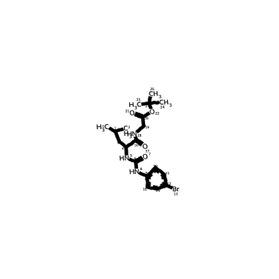 CC(C)CC(NC(=O)Nc1ccc(Br)cc1)C(=O)NCC(=O)OC(C)(C)C